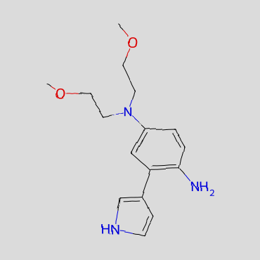 COCCN(CCOC)c1ccc(N)c(-c2cc[nH]c2)c1